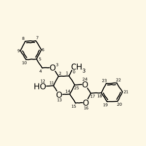 CC1C(OCc2ccccc2)C(O)OC2COC(c3ccccc3)OC21